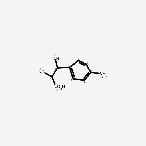 N#CC(C(=O)O)C(C#N)c1ccc(N)cc1